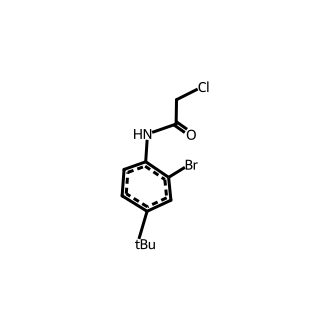 CC(C)(C)c1ccc(NC(=O)CCl)c(Br)c1